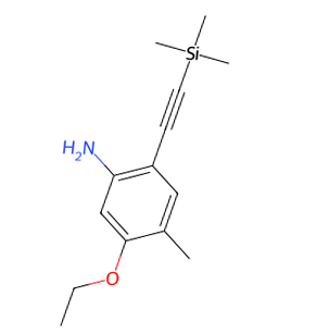 CCOc1cc(N)c(C#C[Si](C)(C)C)cc1C